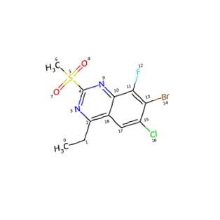 CCc1nc(S(C)(=O)=O)nc2c(F)c(Br)c(Cl)cc12